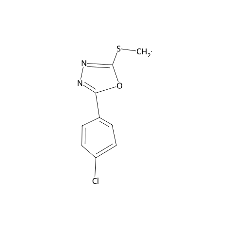 [CH2]Sc1nnc(-c2ccc(Cl)cc2)o1